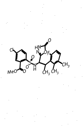 COC(=O)c1cc(Cl)ccc1S(=O)(=O)NC(c1n[nH]c(=O)o1)C(C)c1c(F)ccc(C)c1C